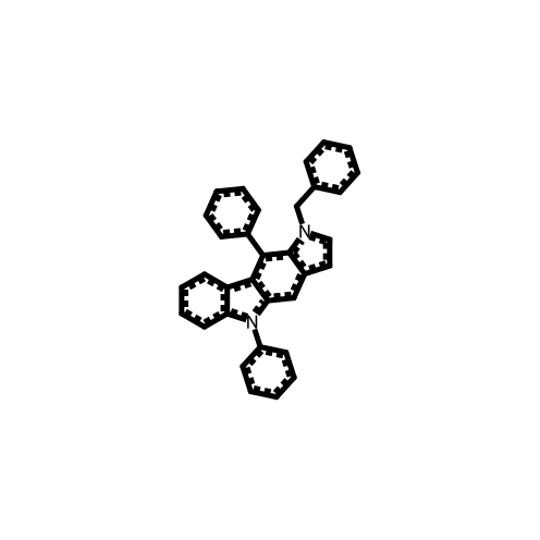 c1ccc(Cn2ccc3cc4c(c(-c5ccccc5)c32)c2ccccc2n4-c2ccccc2)cc1